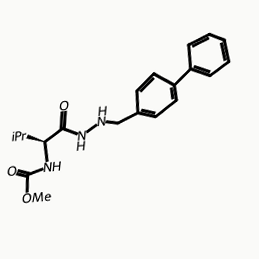 COC(=O)N[C@H](C(=O)NNCc1ccc(-c2ccccc2)cc1)C(C)C